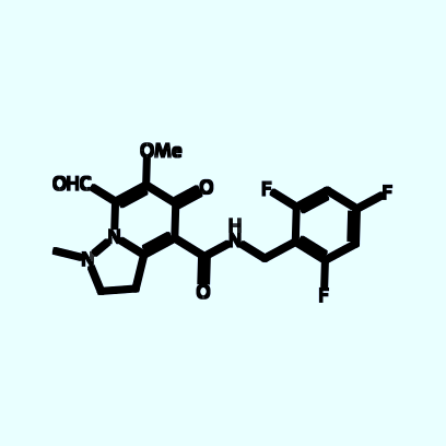 COc1c(C=O)n2c(c(C(=O)NCc3c(F)cc(F)cc3F)c1=O)CCN2C